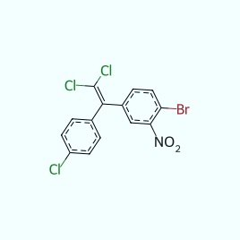 O=[N+]([O-])c1cc(C(=C(Cl)Cl)c2ccc(Cl)cc2)ccc1Br